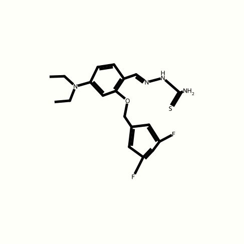 CCN(CC)c1ccc(C=NNC(N)=S)c(OCc2cc(F)cc(F)c2)c1